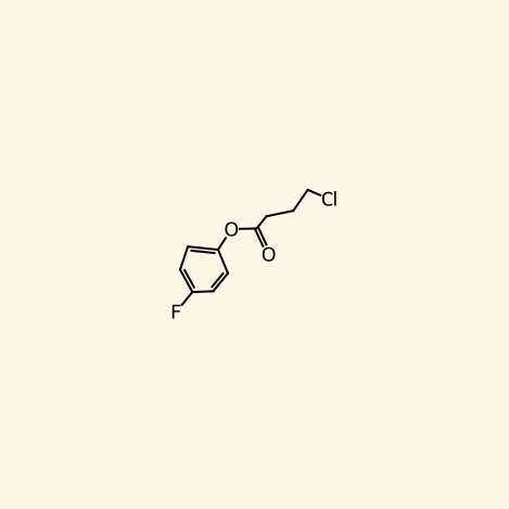 O=C(CCCCl)Oc1ccc(F)cc1